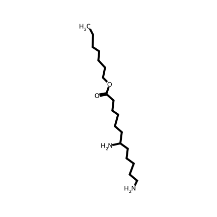 CCCCCCCOC(=O)CCCCCC(N)CCCCCN